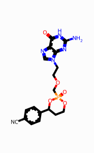 N#Cc1ccc(C2CCOP(=O)(COCCn3cnc4c(=O)[nH]c(N)nc43)O2)cc1